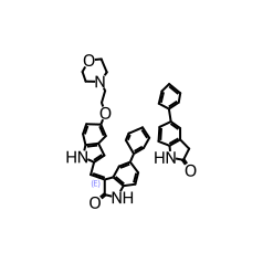 O=C1Cc2cc(-c3ccccc3)ccc2N1.O=C1Nc2ccc(-c3ccccc3)cc2/C1=C\c1cc2cc(OCCN3CCOCC3)ccc2[nH]1